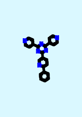 c1ccc(-c2ccc(-c3nc(-c4ccncc4)nc(-c4ccncc4)n3)cn2)cc1